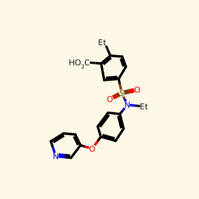 CCc1ccc(S(=O)(=O)N(CC)c2ccc(Oc3cccnc3)cc2)cc1C(=O)O